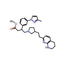 Cc1ccn(-c2cccc(C(CC(=O)OC(C)(C)C)CN3CCC(CCc4ccc5c(n4)NCCC5)C3)c2)n1